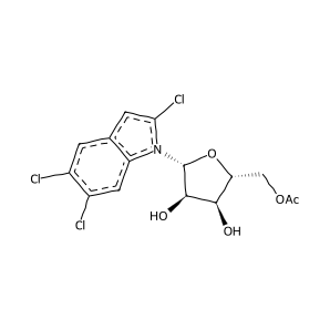 CC(=O)OC[C@H]1O[C@@H](n2c(Cl)cc3cc(Cl)c(Cl)cc32)[C@H](O)[C@@H]1O